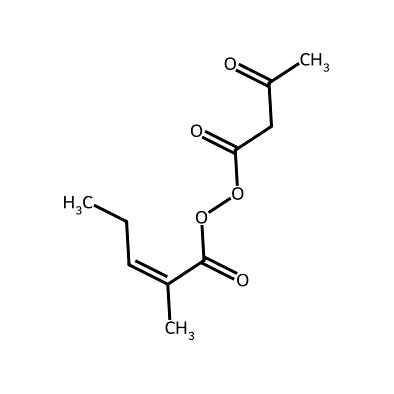 CCC=C(C)C(=O)OOC(=O)CC(C)=O